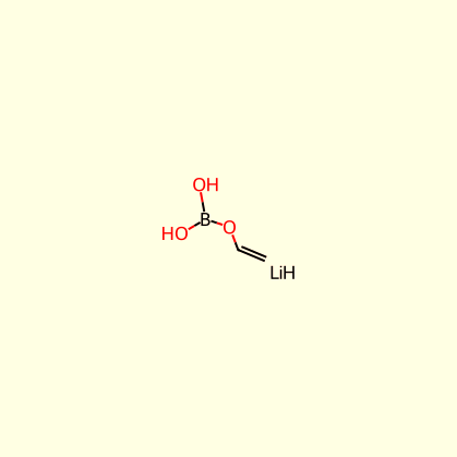 C=COB(O)O.[LiH]